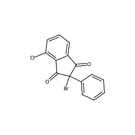 O=C1c2cccc(Cl)c2C(=O)C1(Br)c1ccccc1